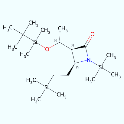 C[C@@H](O[Si](C)(C)C(C)(C)C)[C@H]1C(=O)N([Si](C)(C)C)[C@H]1CC[Si](C)(C)C